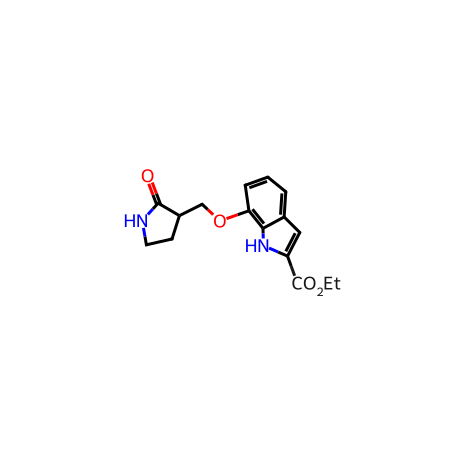 CCOC(=O)c1cc2cccc(OCC3CCNC3=O)c2[nH]1